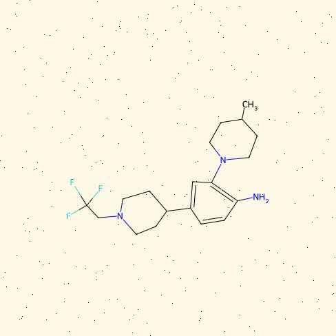 CC1CCN(c2cc(C3CCN(CC(F)(F)F)CC3)ccc2N)CC1